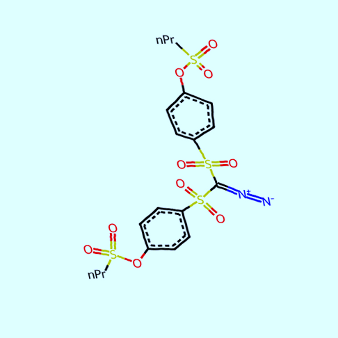 CCCS(=O)(=O)Oc1ccc(S(=O)(=O)C(=[N+]=[N-])S(=O)(=O)c2ccc(OS(=O)(=O)CCC)cc2)cc1